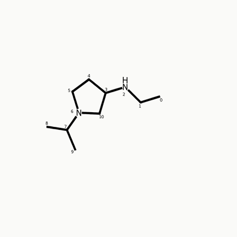 CCNC1CCN(C(C)C)C1